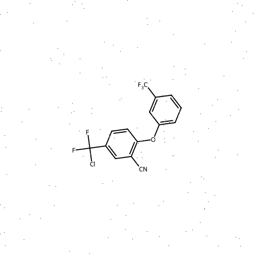 N#Cc1cc(C(F)(F)Cl)ccc1Oc1cccc(C(F)(F)F)c1